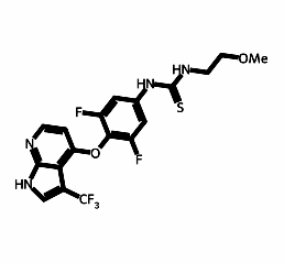 COCCNC(=S)Nc1cc(F)c(Oc2ccnc3[nH]cc(C(F)(F)F)c23)c(F)c1